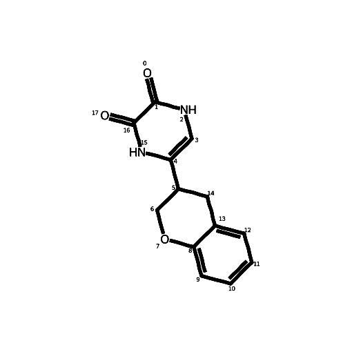 O=c1[nH]cc(C2COc3ccccc3C2)[nH]c1=O